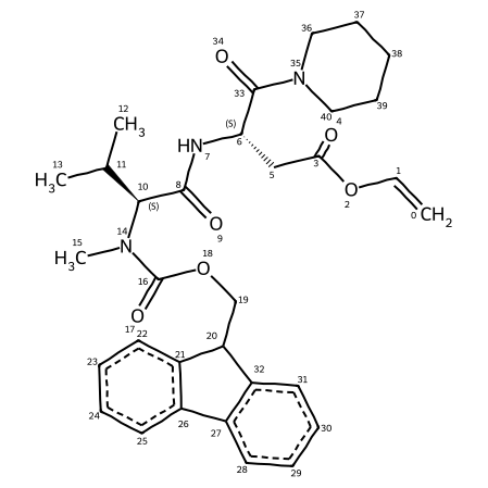 C=COC(=O)C[C@H](NC(=O)[C@H](C(C)C)N(C)C(=O)OCC1c2ccccc2-c2ccccc21)C(=O)N1CCCCC1